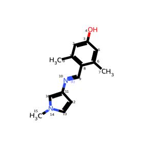 Cc1cc(O)cc(C)c1/C=N/c1ccn(C)c1